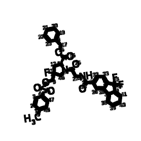 Cc1ccc(S(=O)(=O)OC[C@@]2(F)C[C@@H](C(=O)OCc3ccccc3)N(C(=O)CNC(=O)c3ccc4c(c3)-c3ccccc3C4(F)F)C2)cc1